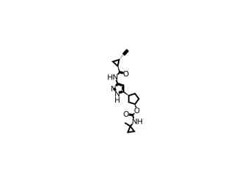 C#C[C@H]1C[C@@H]1C(=O)Nc1cc([C@H]2CC[C@@H](OC(=O)NC3(C)CC3)C2)[nH]n1